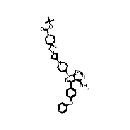 CC(C)(C)OC(=O)N1CCC(F)(CN2CC(N3CCC(n4nc(-c5ccc(Oc6ccccc6)cc5)c5c(N)ncnc54)CC3)C2)CC1